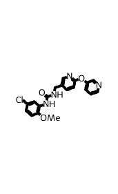 COc1ccc(Cl)cc1NC(=O)NCc1ccc(Oc2cccnc2)nc1